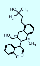 C[C@H]1c2cccc(CCC(C)(C)O)c2C[C@H](CO)N1C(C=O)c1ccccc1Cl